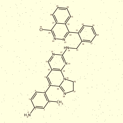 Cc1cc(N)ccc1C1=Cc2cnc(NCc3ccccc3-c3nnc(Cl)c4ccccc34)nc2N2CCN=C12